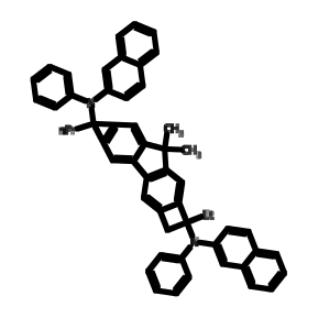 CCCC1(N(c2ccccc2)c2ccc3ccccc3c2)c2cc3c(cc21)C(C)(C)c1cc2c(cc1-3)CC2(CC)N(c1ccccc1)c1ccc2ccccc2c1